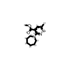 COC(=O)c1cc(I)nnc1N1CCCCCC1